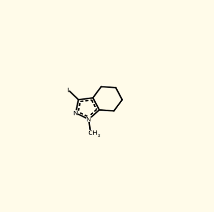 Cn1nc(I)c2c1CCCC2